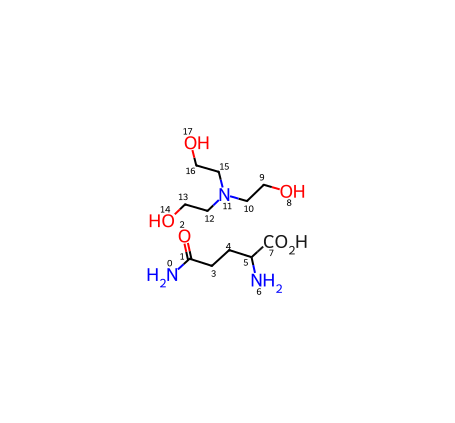 NC(=O)CCC(N)C(=O)O.OCCN(CCO)CCO